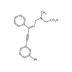 CC(C)c1cccc(C#CC(=CCN(C)CC(=O)O)c2ccccc2)c1